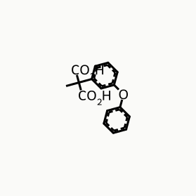 CC(C(=O)O)(C(=O)O)c1cccc(Oc2ccccc2)c1